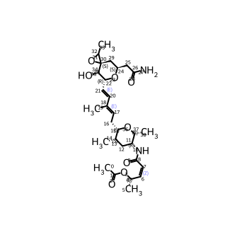 CC(=O)O[C@@H](C)/C=C\C(=O)N[C@@H]1C[C@H](C)[C@H](C/C=C(C)/C=C/[C@H]2O[C@H](CC(N)=O)C[C@]3(OC3C)[C@@H]2O)O[C@@H]1C